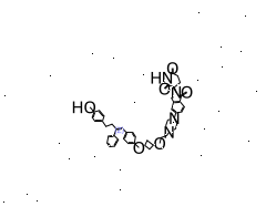 O=C1CCC(N2Cc3cc(N4CCN(CCOC5CC(Oc6ccc(/C=C(/CCc7ccc(O)cc7)c7ccccc7)cc6)C5)CC4)ccc3C2=O)C(=O)N1